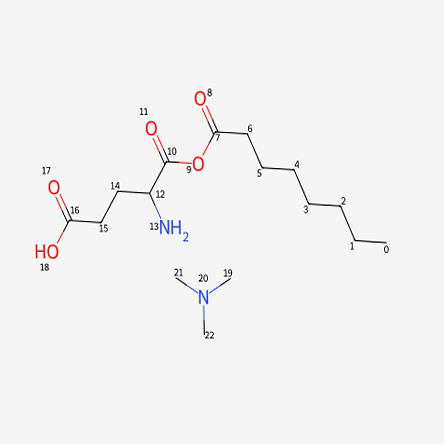 CCCCCCCC(=O)OC(=O)C(N)CCC(=O)O.CN(C)C